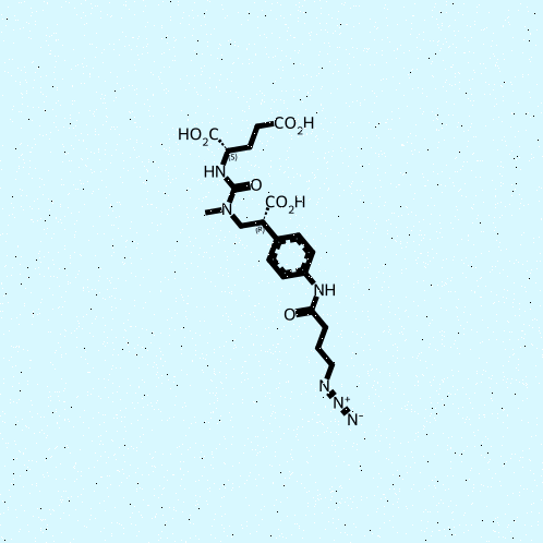 CN(C[C@H](C(=O)O)c1ccc(NC(=O)CCCN=[N+]=[N-])cc1)C(=O)N[C@@H](CCC(=O)O)C(=O)O